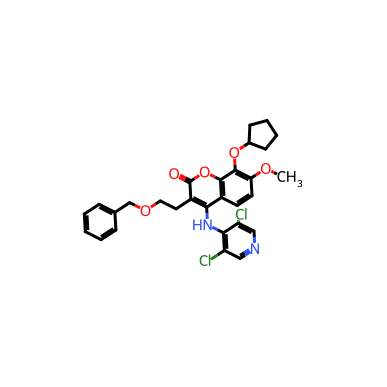 COc1ccc2c(Nc3c(Cl)cncc3Cl)c(CCOCc3ccccc3)c(=O)oc2c1OC1CCCC1